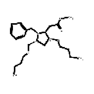 CCCCOC[C@@H]1C[C@H](OCCCC)C(CC(=O)OC)N1Cc1ccccc1